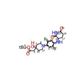 CC(C)(C)OC(=O)CC1(O)CCN(c2cc(F)c(NC3CCC(=O)NC3=O)cc2F)CC1